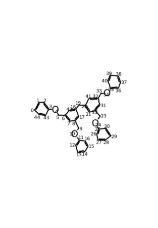 c1ccc(OCc2cc(COc3ccccc3)cc(Cc3cc(COc4ccccc4)cc(COc4ccccc4)c3)c2)cc1